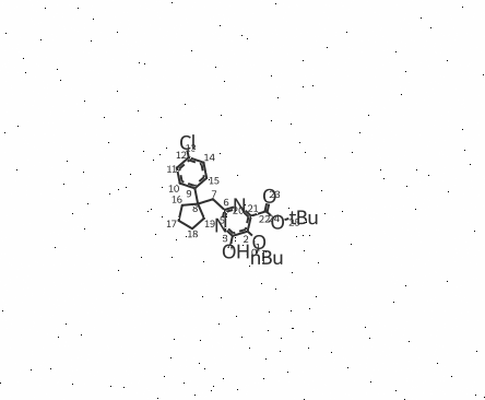 CCCCOc1c(O)nc(CC2(c3ccc(Cl)cc3)CCCC2)nc1C(=O)OC(C)(C)C